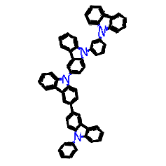 c1ccc(-n2c3ccccc3c3cc(-c4ccc5c(c4)c4ccccc4n5-c4ccc5c(c4)c4ccccc4n5-c4cccc(-n5c6ccccc6c6ccccc65)c4)ccc32)cc1